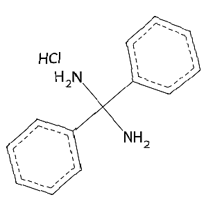 Cl.NC(N)(c1ccccc1)c1ccccc1